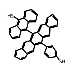 Sc1ccc(-c2c3cc4ccccc4cc3c(-c3c4ccccc4c(S)c4ccccc34)c3cc4ccccc4cc23)cc1